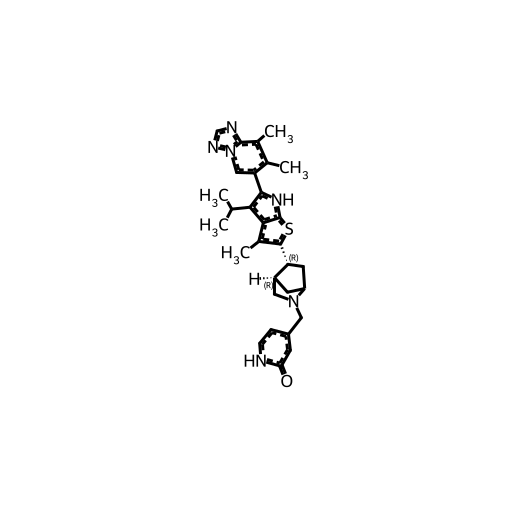 Cc1c(-c2[nH]c3sc([C@@H]4CC5C[C@H]4CN5Cc4cc[nH]c(=O)c4)c(C)c3c2C(C)C)cn2ncnc2c1C